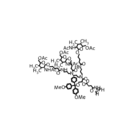 COc1ccc(C(OCC(OC(=O)CCC(=O)N[SH](=P)=S)C(=O)N(CCCNC(=O)CCCCOC2OC(COC(C)=O)C(C)C(C)C2NC(C)=O)CCCN(CCCNC(=O)CCCCOC2OC(COC(C)=O)C(C)C(C)C2NC(C)=O)C(=O)CCCCOC2OC(COC(C)=O)C(C)C(C)C2NC(C)=O)(c2ccccc2)c2ccc(OC)cc2)cc1